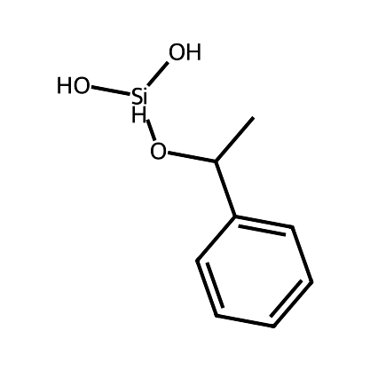 CC(O[SiH](O)O)c1ccccc1